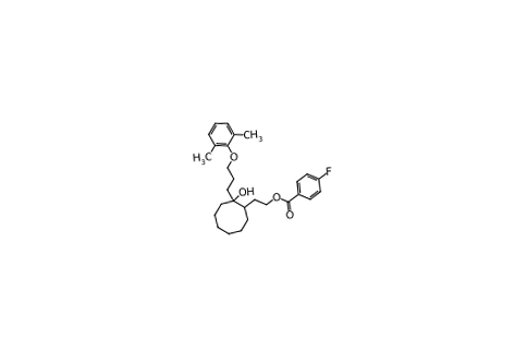 Cc1cccc(C)c1OCCCC1(O)CCCCCCC1CCOC(=O)c1ccc(F)cc1